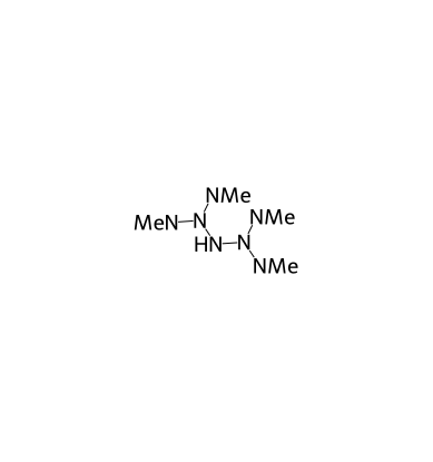 CNN(NC)NN(NC)NC